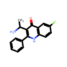 CC(N)c1c(-c2ccccc2)[nH]c2ccc(F)cc2c1=O